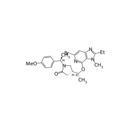 CCc1nc2cc(Br)nc(O[C@H](C)[C@@H]3CC(=O)N([C@H](C)c4ccc(OC)cc4)C3)c2n1C